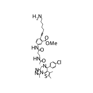 COC(=O)c1cc(NC(=O)CCNC(=O)C[C@@H]2N=C(c3ccc(Cl)cc3)c3c(sc(C)c3C)-n3c(C)nnc32)ccc1C#CCCCCCN